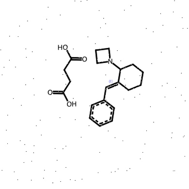 C(=C1/CCCCC1N1CCC1)/c1ccccc1.O=C(O)CCC(=O)O